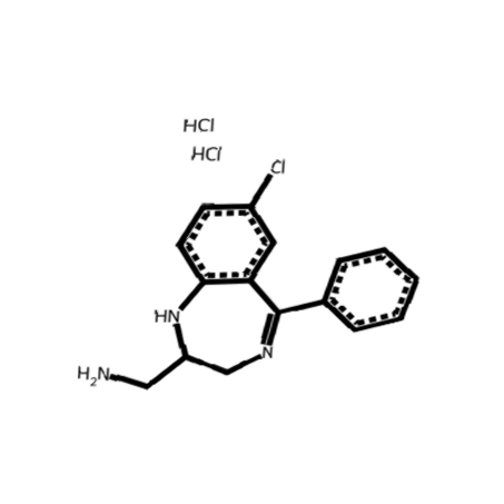 Cl.Cl.NCC1CN=C(c2ccccc2)c2cc(Cl)ccc2N1